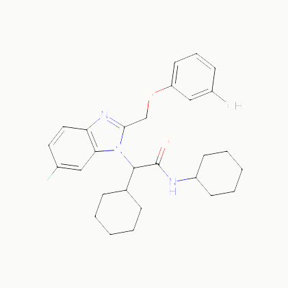 Cc1cccc(OCc2nc3ccc(F)cc3n2C(C(=O)NC2CCCCC2)C2CCCCC2)c1